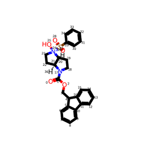 O=C(OCC1c2ccccc2-c2ccccc21)N1CC[C@@H]2[C@@H]1CC[N+]2(O)S(=O)(=O)c1ccccc1